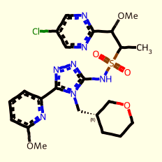 COc1cccc(-c2nnc(NS(=O)(=O)C(C)C(OC)c3ncc(Cl)cn3)n2C[C@H]2CCCOC2)n1